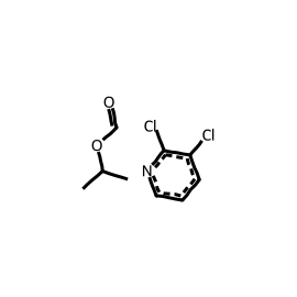 CC(C)OC=O.Clc1cccnc1Cl